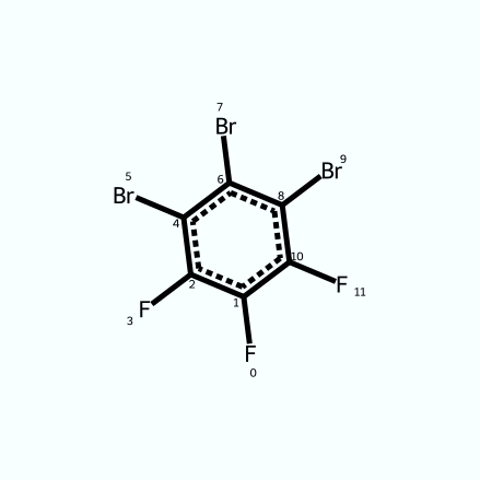 Fc1c(F)c(Br)c(Br)c(Br)c1F